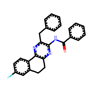 O=C(Nc1nc2c(nc1Cc1ccccc1)-c1ccc(F)cc1CC2)c1ccccc1